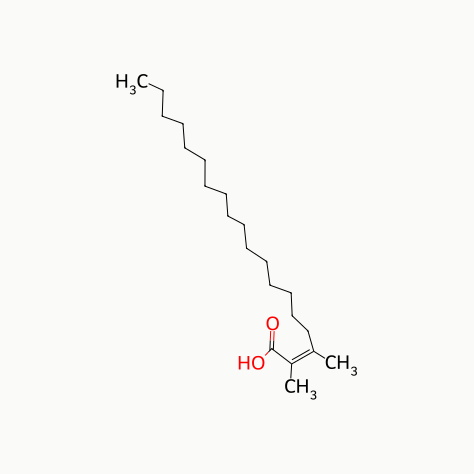 CCCCCCCCCCCCCCCCC(C)=C(C)C(=O)O